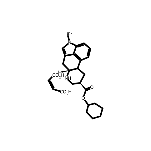 CC(C)n1cc2c3c(cccc31)C1C[C@@H](C(=O)OC3CCCCC3)CN[C@@H]1C2.O=C(O)/C=C\C(=O)O